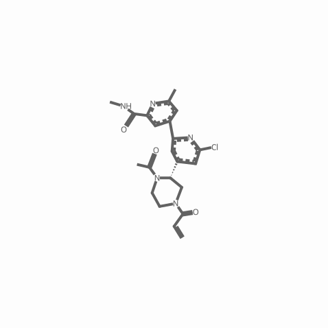 C=CC(=O)N1CCN(C(C)=O)[C@H](c2cc(Cl)nc(-c3cc(C)nc(C(=O)NC)c3)c2)C1